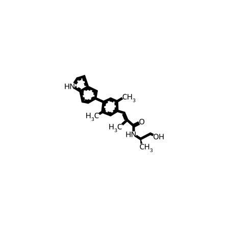 C/C(=C\c1cc(C)c(-c2ccc3[nH]ccc3c2)cc1C)C(=O)N[C@H](C)CO